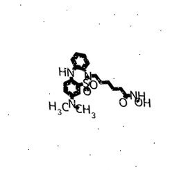 CN(C)c1ccc2c(c1)S(=O)(=O)N(CCCCCC(=O)NO)c1ccccc1N2